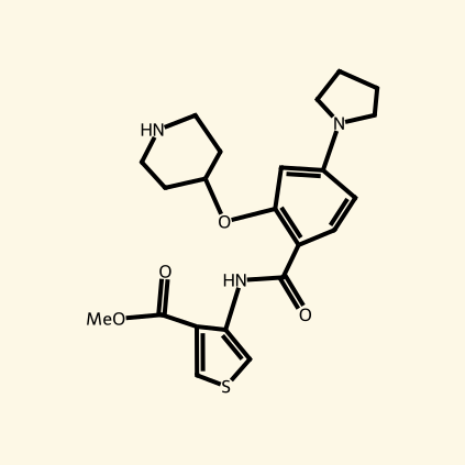 COC(=O)c1cscc1NC(=O)c1ccc(N2CCCC2)cc1OC1CCNCC1